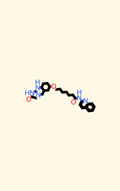 O=C(CCCCCCOC1CCC2NC3NC(=O)CN3CC2C1)Nc1ccc2ccccc2n1